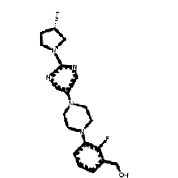 OCc1cccc(N2CCN(c3cnc(N4CC[C@H](F)C4)nc3)CC2)c1F